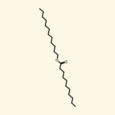 CCCCCCCCCCCCOC(=O)CCCCCCCCCC